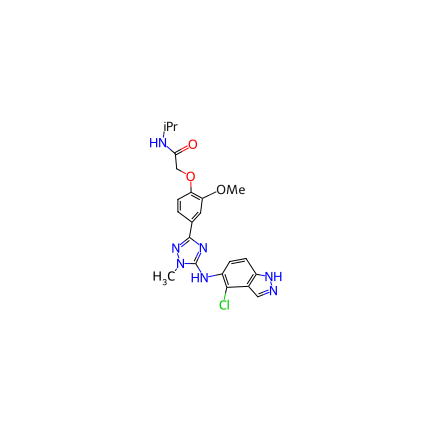 COc1cc(-c2nc(Nc3ccc4[nH]ncc4c3Cl)n(C)n2)ccc1OCC(=O)NC(C)C